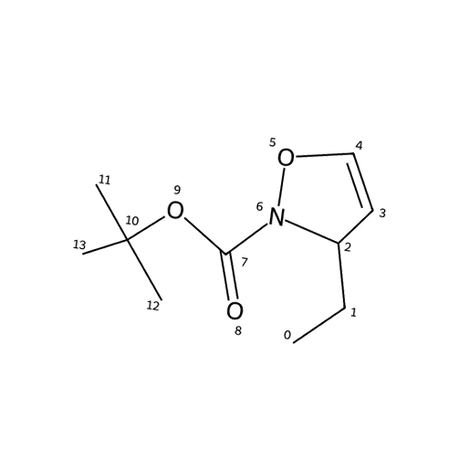 CCC1C=CON1C(=O)OC(C)(C)C